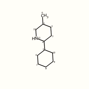 CC1CCC(C2CCCCC2)NC1